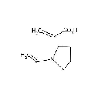 C=CN1CCCC1.C=CS(=O)(=O)O